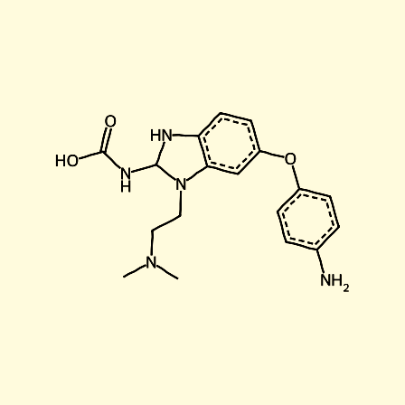 CN(C)CCN1c2cc(Oc3ccc(N)cc3)ccc2NC1NC(=O)O